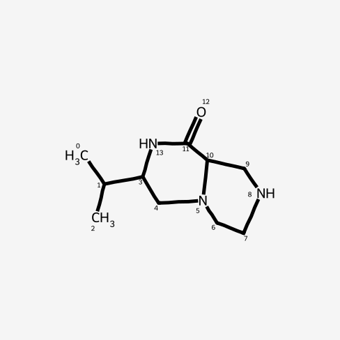 CC(C)C1CN2CCNCC2C(=O)N1